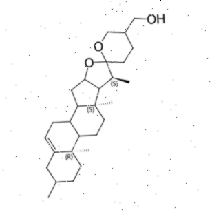 CC1CC[C@@]2(C)C(=CCC3C4CC5OC6(CCC(CO)CO6)[C@@H](C)C5[C@@]4(C)CCC32)C1